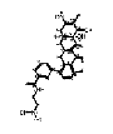 C=C(NCCN(CC)CC)c1cccc(-c2ccc(C)c3c2CC2C[C@H]4CC(N=O)=C(C)C(=O)[C@@]4(O)C(C)=C2C3=C)c1